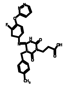 Cc1ccc(Cn2c(=O)n(CCC(=O)O)c(=O)[nH]/c2=N\C2C=CC(Oc3cccnn3)=C(F)C2)cc1